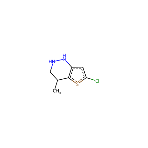 CC1CNNc2cc(Cl)sc21